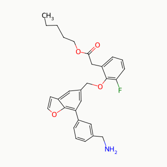 CCCCCOC(=O)Cc1cccc(F)c1OCc1cc(-c2cccc(CN)c2)c2occc2c1